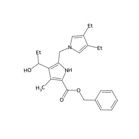 CCc1cn(Cc2[nH]c(C(=O)OCc3ccccc3)c(C)c2C(O)CC)cc1CC